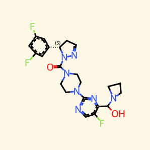 O=C(N1CCN(c2ncc(F)c(C(O)N3CCC3)n2)CC1)N1N=CC[C@H]1c1cc(F)cc(F)c1